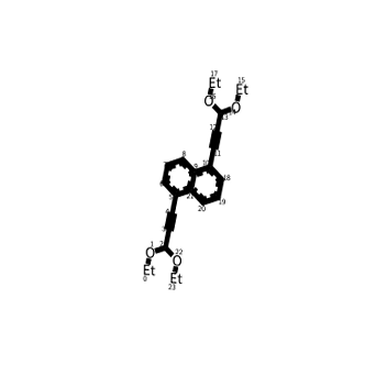 CCOC(C#Cc1cccc2c(C#CC(OCC)OCC)cccc12)OCC